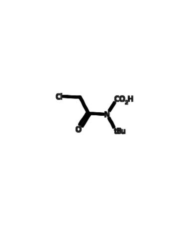 CC(C)(C)N(C(=O)O)C(=O)CCl